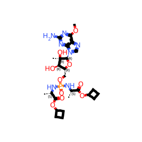 COc1nc(N)nc2c1ncn2[C@@H]1O[C@H](COP(=O)(N[C@@H](C)C(=O)OC2CCC2)N[C@@H](C)C(=O)OC2CCC2)[C@@H](O)[C@@]1(C)O